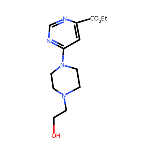 CCOC(=O)c1cc(N2CCN(CCO)CC2)ncn1